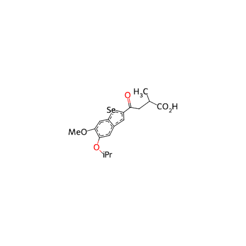 COc1cc2[se]c(C(=O)CC(C)C(=O)O)cc2cc1OC(C)C